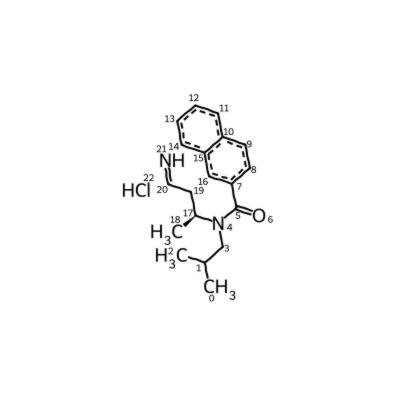 CC(C)CN(C(=O)c1ccc2ccccc2c1)[C@@H](C)CC=N.Cl